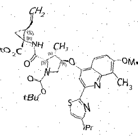 C=C[C@@H]1C[C@]1(NC(=O)[C@@H]1[C@H](C)[C@@H](Oc2cc(-c3nc(C(C)C)cs3)nc3c(C)c(OC)ccc23)CN1C(=O)OC(C)(C)C)C(=O)OCC